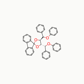 c1ccc(OC(c2ccccc2)[C@@H]2OC3(O[C@H]2C(Oc2ccccc2)c2ccccc2)c2ccccc2-c2ccccc23)cc1